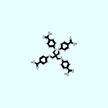 O=C(O)c1ccc(OCC(COc2ccc(C(=O)O)cc2)(COc2ccc(C(=O)O)cc2)COc2ccc(C(=O)O)cc2)cc1